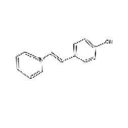 Oc1ccc(C=C[n+]2ccccc2)cc1